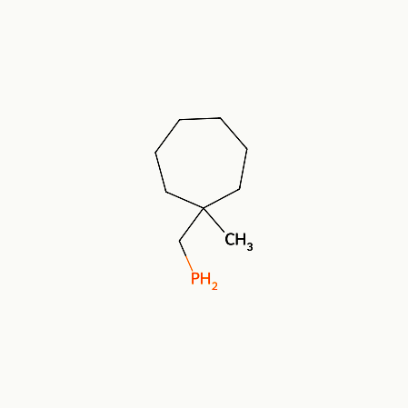 CC1(CP)CCCCCC1